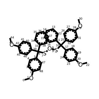 COc1ccc(C(SOSC(c2ccccc2)(c2ccc(OC)cc2)c2ccc(OC)cc2)(c2ccccc2)c2ccc(OC)cc2)cc1